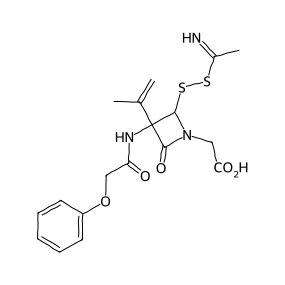 C=C(C)C1(NC(=O)COc2ccccc2)C(=O)N(CC(=O)O)C1SSC(C)=N